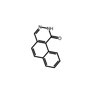 O=c1[nH]ncc2ccc3ccccc3c12